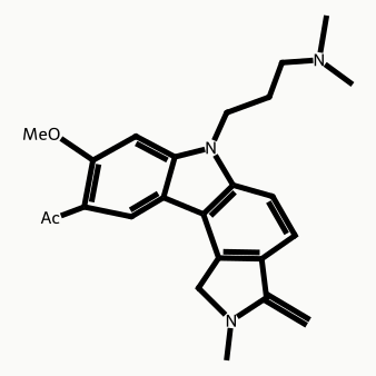 C=C1c2ccc3c(c2CN1C)c1cc(C(C)=O)c(OC)cc1n3CCCN(C)C